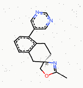 CC1=N[C@@]2(CCc3c(cccc3-c3cncnc3)C2)CO1